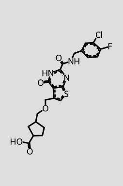 O=C(NCc1ccc(F)c(Cl)c1)c1nc2scc(COCC3CCC(C(=O)O)C3)c2c(=O)[nH]1